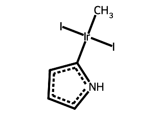 [CH3][Ir]([I])([I])[c]1ccc[nH]1